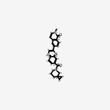 Cn1ccc2cc(-c3cnc4ccc(C(=O)N5CCCC6(CC6)C5)cc4n3)ccc2c1=O